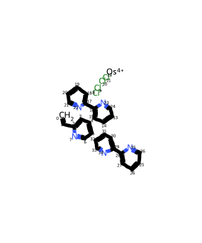 C=Cc1ccccn1.[Cl-].[Cl-].[Cl-].[Cl-].[Os+4].c1ccc(-c2ccccn2)nc1.c1ccc(-c2ccccn2)nc1